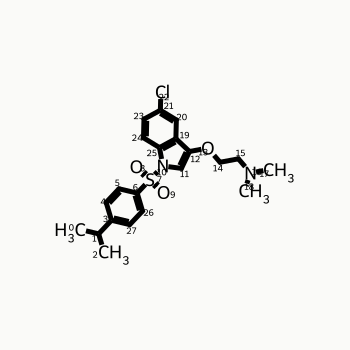 CC(C)c1ccc(S(=O)(=O)n2cc(OCCN(C)C)c3cc(Cl)ccc32)cc1